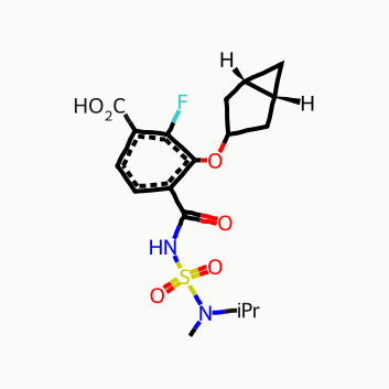 CC(C)N(C)S(=O)(=O)NC(=O)c1ccc(C(=O)O)c(F)c1OC1C[C@@H]2C[C@@H]2C1